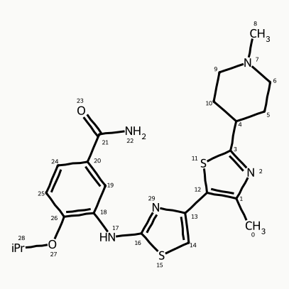 Cc1nc(C2CCN(C)CC2)sc1-c1csc(Nc2cc(C(N)=O)ccc2OC(C)C)n1